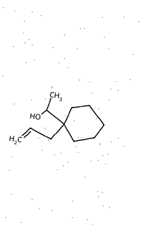 C=CCC1(C(C)O)CCCCC1